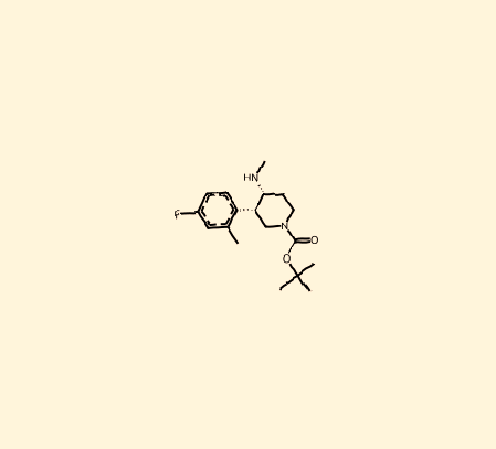 CN[C@@H]1CCN(C(=O)OC(C)(C)C)C[C@@H]1c1ccc(F)cc1C